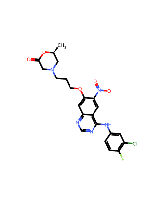 C[C@H]1CN(CCCOc2cc3ncnc(Nc4ccc(F)c(Cl)c4)c3cc2[N+](=O)[O-])CC(=O)O1